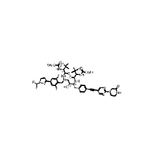 COC(=O)NC(C(=O)N[C@@H](Cc1ccc(C#Cc2cnc(N3CCNC(=O)C3)nc2)cc1)[C@@H](O)CN(Cc1c(F)cc(-c2ccn(C(F)F)n2)cc1F)NC(=O)[C@@H](NC(=O)OC)C(C)(C)C(F)(F)F)C(C)(C)C(F)(F)F